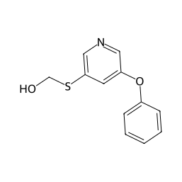 OCSc1cncc(Oc2ccccc2)c1